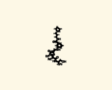 CCCC(CO)NC(=O)C(C#N)=c1sc(=CNc2cccc(C(=O)NCCCN3CCCC3)c2)c(=O)n1CC